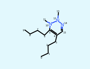 CCCCC1=C(CCCC)N(C)N(C)N=C1